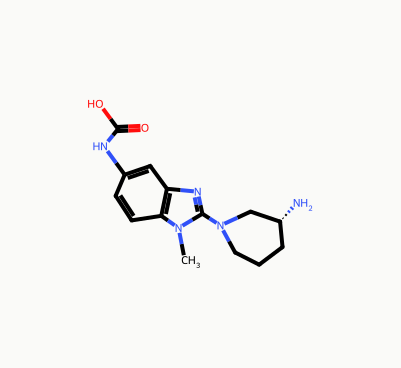 Cn1c(N2CCC[C@@H](N)C2)nc2cc(NC(=O)O)ccc21